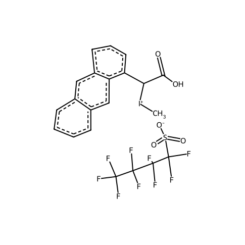 C[I+]C(C(=O)O)c1cccc2cc3ccccc3cc12.O=S(=O)([O-])C(F)(F)C(F)(F)C(F)(F)C(F)(F)F